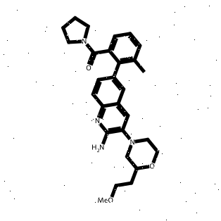 COCCC1CN(c2cc3cc(-c4c(C)cccc4C(=O)N4CCCC4)ccc3nc2N)CCO1